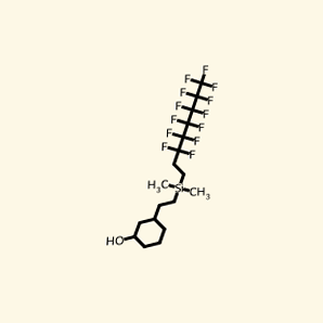 C[Si](C)(CCC1CCCC(O)C1)CCC(F)(F)C(F)(F)C(F)(F)C(F)(F)C(F)(F)C(F)(F)F